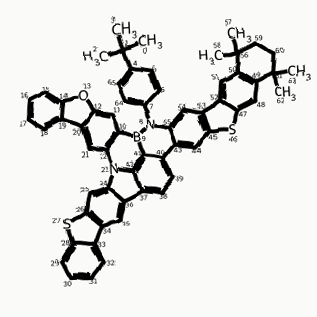 CC(C)(C)c1ccc(N2B3c4cc5oc6ccccc6c5cc4-n4c5cc6sc7ccccc7c6cc5c5ccc(c3c54)-c3cc4sc5cc6c(cc5c4cc32)C(C)(C)CCC6(C)C)cc1